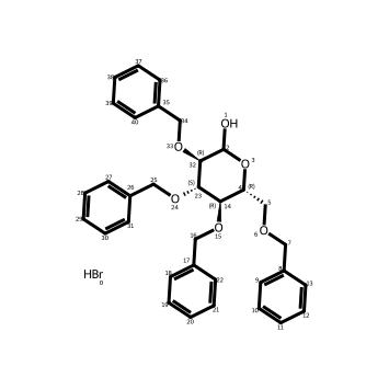 Br.OC1O[C@H](COCc2ccccc2)[C@@H](OCc2ccccc2)[C@H](OCc2ccccc2)[C@H]1OCc1ccccc1